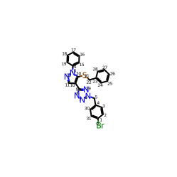 Brc1ccc(Cn2nnc(-c3cnn(-c4ccccc4)c3SCc3ccccc3)n2)cc1